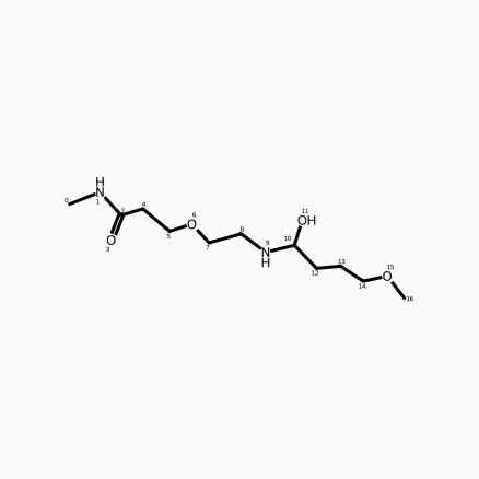 CNC(=O)CCOCCNC(O)CCCOC